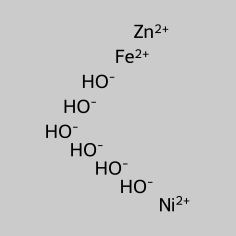 [Fe+2].[Ni+2].[OH-].[OH-].[OH-].[OH-].[OH-].[OH-].[Zn+2]